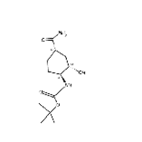 CC(C)(C)OC(=O)N[C@H]1CC[C@H](C(N)=O)C[C@@H]1O